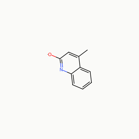 Cc1cc([O])nc2ccccc12